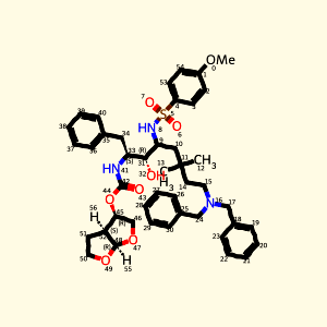 COc1ccc(S(=O)(=O)NC(CC(C)(C)CCN(Cc2ccccc2)Cc2ccccc2)[C@H](O)[C@H](Cc2ccccc2)NC(=O)O[C@H]2CO[C@H]3OCC[C@H]32)cc1